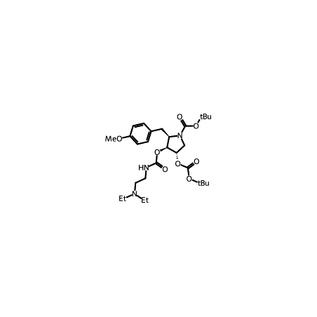 CCN(CC)CCNC(=O)O[C@@H]1[C@@H](OC(=O)OC(C)(C)C)CN(C(=O)OC(C)(C)C)[C@@H]1Cc1ccc(OC)cc1